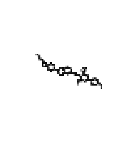 CCCCOc1ccc(-c2ccc3cc(C#Cc4c(F)cc(-c5ccc(CC)cc5)cc4OC)ccc3c2)cc1